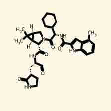 Cc1cccc2[nH]c(C(=O)N[C@H](C(=O)N3C[C@H]4[C@@H]([C@H]3C(=O)N[C@H](C=O)C[C@@H]3CCNC3=O)C4(C)C)C3CCCCC3)cc12